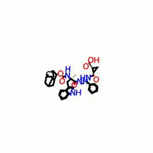 C[C@](Cc1c[nH]c2ccccc12)(NC(=O)OC1C2CC3CC(C2)CC1C3)C(=O)NC[C@H](NC(=O)[C@H]1C[C@@H]1C(=O)O)c1ccccc1